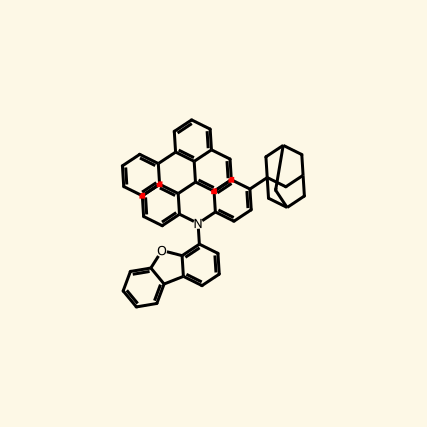 c1ccc(-c2cccc3cccc(-c4ccccc4N(c4ccc(C56CC7CC(CC(C7)C5)C6)cc4)c4cccc5c4oc4ccccc45)c23)cc1